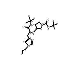 CCCn1cnc(CC(OC2CCN(C(=O)OC(C)(C)C)C2)C(=O)OC(C)(C)C)c1